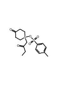 CCC(=O)CS1(OS(=O)(=O)c2ccc(C)cc2)CCC(=O)CC1